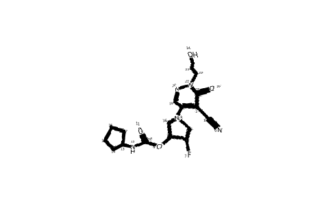 N#Cc1c(N2CC(F)C(OC(=O)NC3CCCC3)C2)cnn(CCO)c1=O